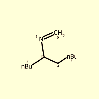 C=NC(CCCC)CCCCC